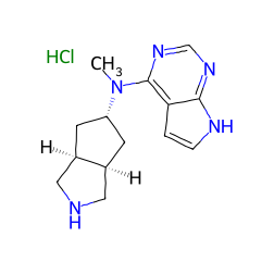 CN(c1ncnc2[nH]ccc12)[C@@H]1C[C@H]2CNC[C@H]2C1.Cl